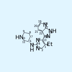 CCc1cnc(N[C@H]2CCCNC2)nc1-c1n[nH]c2ncccc12